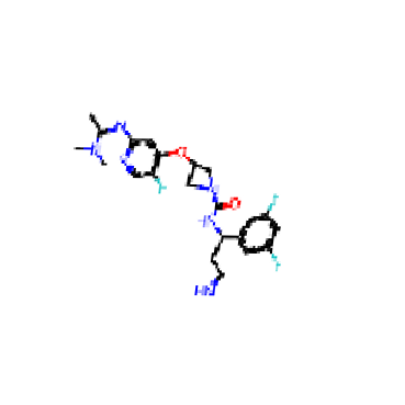 C/C(=N/c1cc(OC2CN(C(=O)NC(CC=N)c3cc(F)cc(F)c3)C2)c(F)cn1)N(C)C